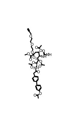 C#CCOCCOCCO[C@]1(C(=O)OC)C[C@H](OC(C)=O)[C@@H](NC(=O)NC)[C@H]([C@H](OC(C)=O)[C@@H](CNC(=O)Cc2ccc(-c3ccc(OC(C)=O)cc3)cc2)OC(C)=O)O1